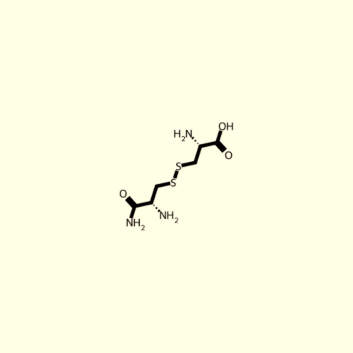 NC(=O)[C@@H](N)CSSC[C@H](N)C(=O)O